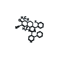 C[C@H]1C(=O)C(C#N)=C[C@@]2(C)c3nc(-c4ccncc4-c4ccccc4)nc(-c4ccccc4F)c3CC[C@H]12